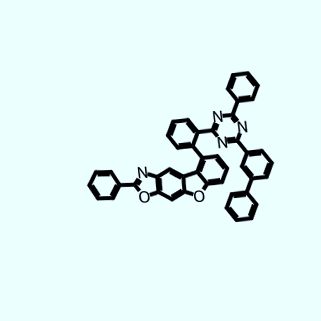 c1ccc(-c2cccc(-c3nc(-c4ccccc4)nc(-c4ccccc4-c4cccc5oc6cc7oc(-c8ccccc8)nc7cc6c45)n3)c2)cc1